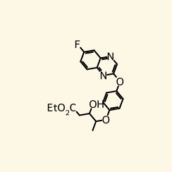 CCOC(=O)CC(O)C(C)Oc1ccc(Oc2cnc3cc(F)ccc3n2)cc1